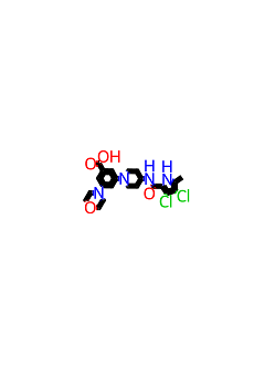 Cc1[nH]c(C(=O)NC2CCN(c3cc(C(=O)O)cc(N4CCOCC4)c3)CC2)c(Cl)c1Cl